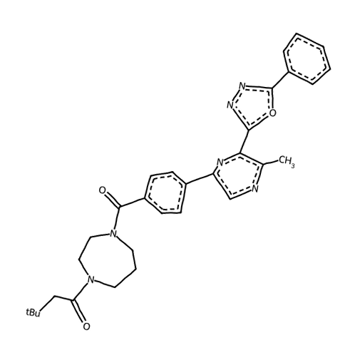 Cc1ncc(-c2ccc(C(=O)N3CCCN(C(=O)CC(C)(C)C)CC3)cc2)nc1-c1nnc(-c2ccccc2)o1